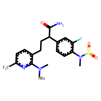 CCCCN(C)c1nc(C(F)(F)F)ccc1CCC(C(N)=O)c1ccc(N(C)[SH](=O)=O)c(F)c1